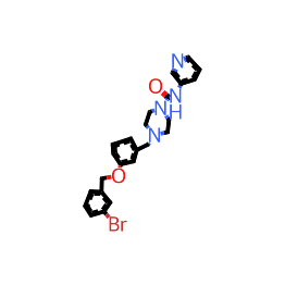 O=C(Nc1cccnc1)N1CCN(Cc2cccc(OCc3cccc(Br)c3)c2)CC1